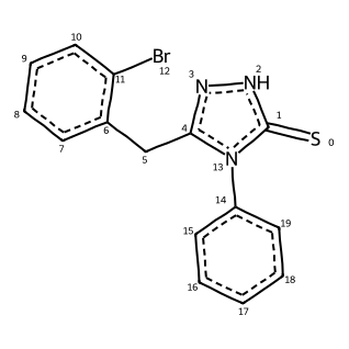 S=c1[nH]nc(Cc2ccccc2Br)n1-c1ccccc1